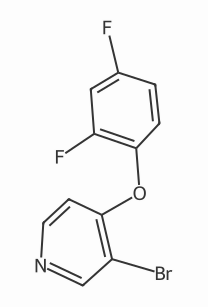 Fc1ccc(Oc2ccncc2Br)c(F)c1